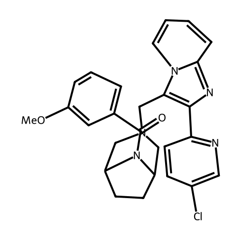 COc1cccc(C(=O)N2C3CCC2CN(Cc2c(-c4ccc(Cl)cn4)nc4ccccn24)C3)c1